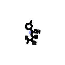 CCC(C(=O)/C=C(\O)C1CCCC(C)C1)C(C)F